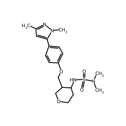 Cc1cc(-c2ccc(OCC3COCCC3NS(=O)(=O)N(C)C)cc2)n(C)n1